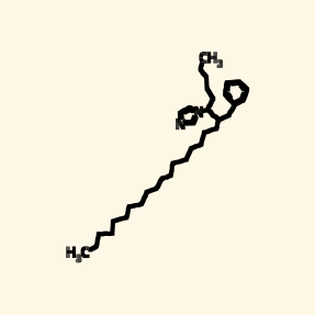 CCCCCCCCCCCCCCCCCCC(Cc1ccccc1)C(CCCCC)n1ccnc1